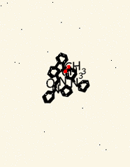 CC1(C)c2ccccc2-c2ccc3oc4c(c3c21)N1c2ccccc2N(c2ccccc2)c2cccc(c21)N4c1ccccc1